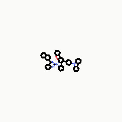 c1ccc2cc(-c3nc(-n4c5ccccc5c5c(-c6ccc(-n7c8ccccc8c8ccccc87)cc6)cc6c7ccccc7oc6c54)nc4ccccc34)ccc2c1